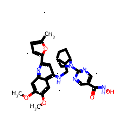 COc1cc2nc(-c3ccc(C)o3)cc(NCC3C4CCC3N(c3ncc(C(=O)NO)cn3)C4)c2cc1OC